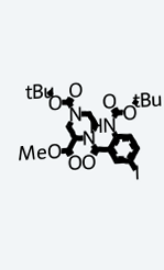 COC(=O)C1CN(C(=O)OC(C)(C)C)CCN1C(=O)c1cc(I)ccc1NC(=O)OC(C)(C)C